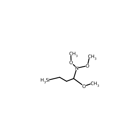 COC(CC[SiH3])N(OC)OC